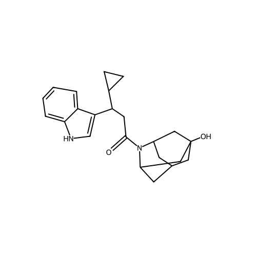 O=C(CC(c1c[nH]c2ccccc12)C1CC1)N1C2CC3CC1CC(O)(C3)C2